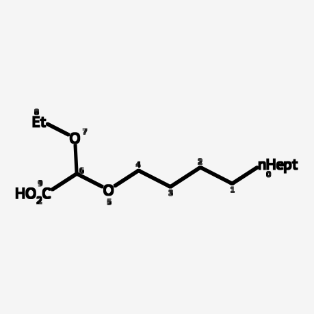 CCCCCCCCCCCOC(OCC)C(=O)O